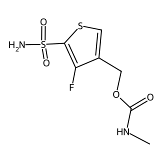 CNC(=O)OCc1csc(S(N)(=O)=O)c1F